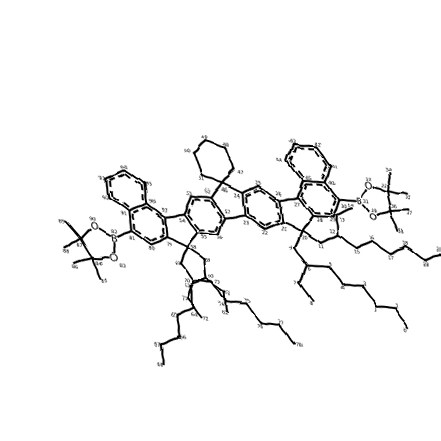 CCCCCCC(CC)CC1(CC(CC)CCCCCC)c2cc3c(cc2-c2c1cc(B1OC(C)(C)C(C)(C)O1)c1ccccc21)C1(CCCCC1)c1cc2c(cc1-3)C(CC(CC)CCCCCC)(CC(CC)CCCCCC)c1cc(B3OC(C)(C)C(C)(C)O3)c3ccccc3c1-2